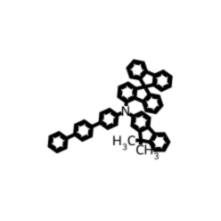 CC1(C)c2ccccc2-c2ccc(N(c3ccc(-c4ccc(-c5ccccc5)cc4)cc3)c3cccc4c3-c3ccccc3C43c4ccccc4-c4ccccc43)cc21